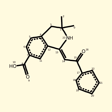 CC1(C)Cc2ccc(C(=O)O)cc2C(=CC(=O)c2ccccc2)N1